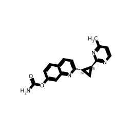 Cc1ccnc([C@H]2C[C@@H]2c2ccc3ccc(OC(N)=O)cc3n2)n1